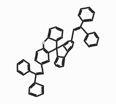 C(=C(c1ccccc1)c1ccccc1)c1ccc2c(c1)C1(c3ccccc3O2)c2ccccc2-c2ccc(C=C(c3ccccc3)c3ccccc3)cc21